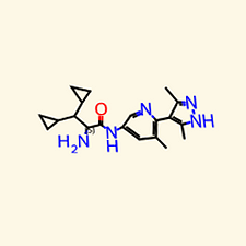 Cc1cc(NC(=O)[C@@H](N)C(C2CC2)C2CC2)cnc1-c1c(C)n[nH]c1C